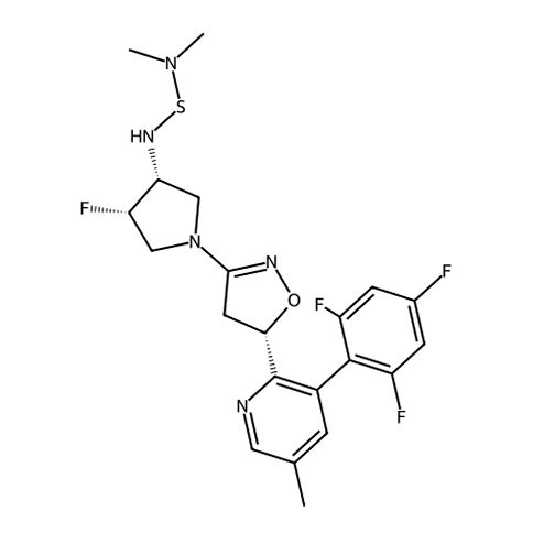 Cc1cnc([C@@H]2CC(N3C[C@H](F)[C@H](NSN(C)C)C3)=NO2)c(-c2c(F)cc(F)cc2F)c1